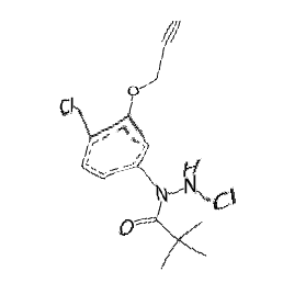 C#CCOc1cc(N(NCl)C(=O)C(C)(C)C)ccc1Cl